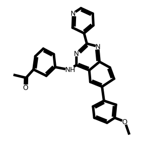 COc1cccc(-c2ccc3nc(-c4cccnc4)nc(Nc4cccc(C(C)=O)c4)c3c2)c1